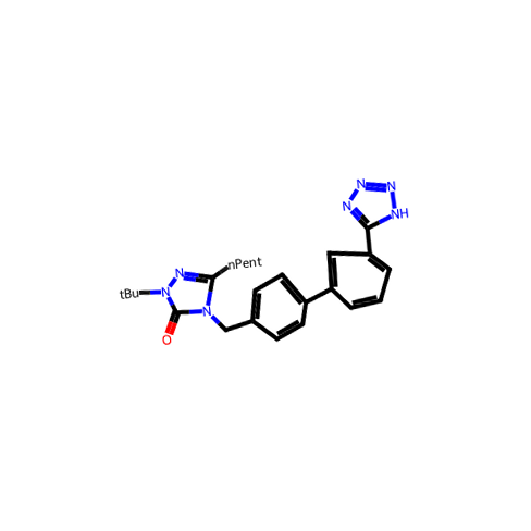 CCCCCc1nn(C(C)(C)C)c(=O)n1Cc1ccc(-c2cccc(-c3nnn[nH]3)c2)cc1